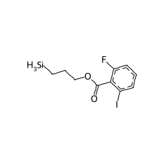 O=C(OCCC[SiH3])c1c(F)cccc1I